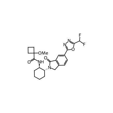 COC1(C(=O)N[C@@H]2CCCC[C@H]2N2Cc3ccc(-c4nnc(C(F)F)o4)cc3C2=O)CCC1